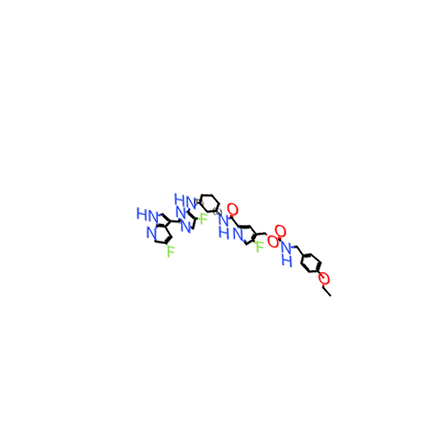 CCOc1ccc(CNC(=O)OCc2cc(C(=O)N[C@H]3CCC[C@@H](Nc4nc(-c5c[nH]c6ncc(F)cc56)ncc4F)C3)ncc2F)cc1